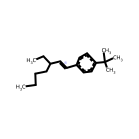 CCCCC(/C=C/c1ccc(C(C)(C)C)cc1)CC